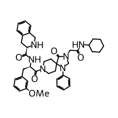 COc1cccc(C[C@@H](NC(=O)[C@H]2Cc3ccccc3CN2)C(=O)N2CCC3(CC2)C(=O)N(CC(=O)NC2CCCCC2)CN3c2ccccc2)c1